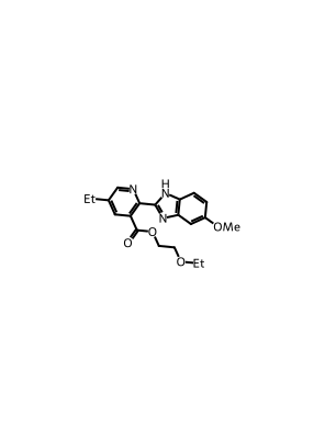 CCOCCOC(=O)c1cc(CC)cnc1-c1nc2cc(OC)ccc2[nH]1